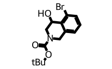 CC(C)(C)OC(=O)N1Cc2cccc(Br)c2C(O)C1